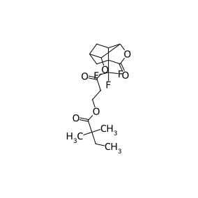 CCC(C)(C)C(=O)OCCC(=O)OC1C2CC3C1OC(=O)C3(C(F)(F)F)C2